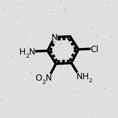 Nc1ncc(Cl)c(N)c1[N+](=O)[O-]